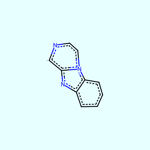 [c]1nccn2c1nc1ccccc12